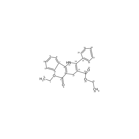 CCOC(=O)C1=C(c2ccccc2)NC(c2ccccc2)=C(C(=O)OCC)C1